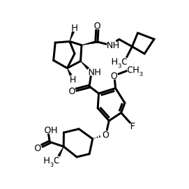 COc1cc(F)c(O[C@H]2CC[C@@](C)(C(=O)O)CC2)cc1C(=O)N[C@H]1[C@@H]2CC[C@@H](C2)[C@H]1C(=O)NCC1(C)CCC1